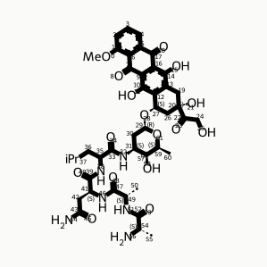 COc1cccc2c1C(=O)c1c(O)c3c(c(O)c1C2=O)C[C@@](O)(C(=O)CO)C[C@@H]3O[C@H]1C[C@H](NC(=O)C(CC(C)C)NC(=O)[C@H](CC(N)=O)NC(=O)[C@H](C)NC(=O)[C@H](C)N)[C@H](O)[C@H](C)O1